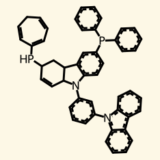 C1=CCC=CC(PC2C=CC3C(C2)c2cc(P(c4ccccc4)c4ccccc4)ccc2N3c2cccc(-n3c4ccccc4c4ccccc43)c2)=C1